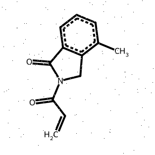 C=CC(=O)N1Cc2c(C)cccc2C1=O